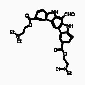 CCN(CC)CCOC(=O)c1ccc2[nH]c3c(C=O)c4[nH]c5ccc(C(=O)OCCN(CC)CC)cc5c4cc3c2c1